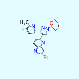 Cc1nc(-c2nn(C3CCCCO3)cc2-c2ccc3ncc(Br)cc3n2)ccc1F